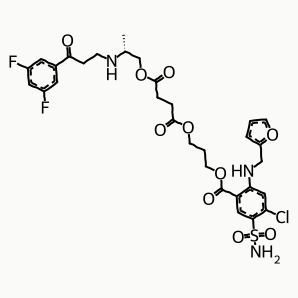 C[C@H](COC(=O)CCC(=O)OCCCOC(=O)c1cc(S(N)(=O)=O)c(Cl)cc1NCc1ccco1)NCCC(=O)c1cc(F)cc(F)c1